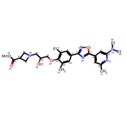 CCc1cc(-c2noc(-c3cc(C)nc(N(CC)CC)c3)n2)cc(C)c1OCC(O)CN1CC(C(=O)OC)C1